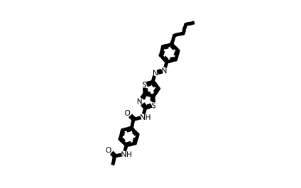 CCCCc1ccc(N=Nc2cc3sc(NC(=O)c4ccc(NC(C)=O)cc4)nc3s2)cc1